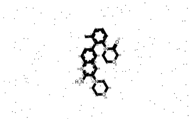 Cc1cccc(N2CCOCC2=O)c1-c1ccc2nc(N)c(N3CCOCC3)cc2c1